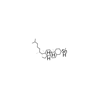 CC(C)CCC[C@@H](C)[C@H]1CC[C@H]2[C@@H]3CCC4C[CH]([SnH]([CH3])[CH3])CC[C@]4(C)[C@H]3CC[C@]12C